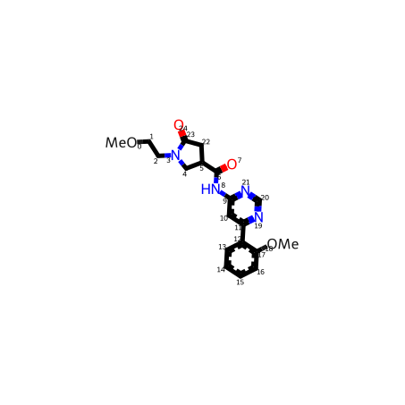 COCCN1CC(C(=O)Nc2cc(-c3ccccc3OC)ncn2)CC1=O